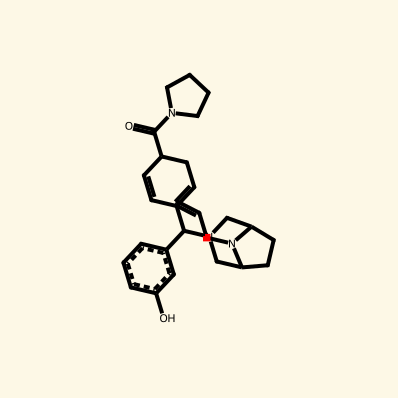 C=CCN1C2CCC1CN(C(C1=CCC(C(=O)N3CCCC3)C=C1)c1cccc(O)c1)C2